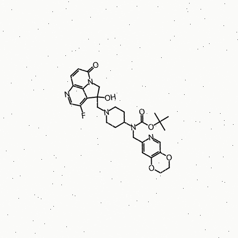 CC(C)(C)OC(=O)N(Cc1cc2c(cn1)OCCO2)C1CCN(CC2(O)Cn3c(=O)ccc4ncc(F)c2c43)CC1